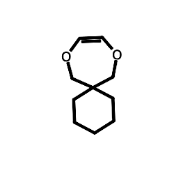 C1=COCC2(CCCCC2)CO1